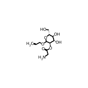 C=CCOC1O[C@H](CO)[C@@H](O)[C@H](O)[C@H]1OC(=O)CN